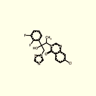 CC(n1cnc2cc(Cl)ccc2c1=O)C(O)(Cn1cncn1)c1cccc(F)c1F